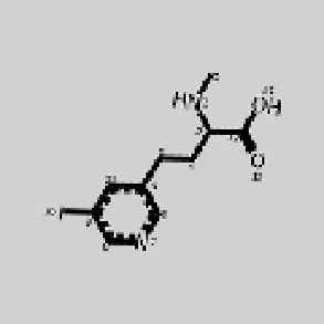 CNC(CCc1cncc(I)c1)C(=O)O